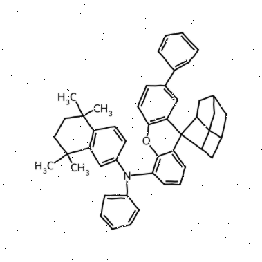 CC1(C)CCC(C)(C)c2cc(N(c3ccccc3)c3cccc4c3Oc3ccc(-c5ccccc5)cc3C43C4CC5CC6CC3C64C5)ccc21